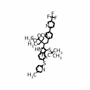 CCC(CC)(C(=O)OC)C(Cc1ccc(-c2ccc(C(F)(F)F)cn2)cc1)c1[nH]c2ccc(Sc3ccc(C)cn3)cc2c1SC(C)(C)C